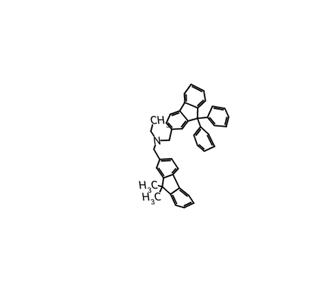 CCN(Cc1ccc2c(c1)C(C)(C)c1ccccc1-2)Cc1ccc2c(c1)C(c1ccccc1)(c1ccccc1)c1ccccc1-2